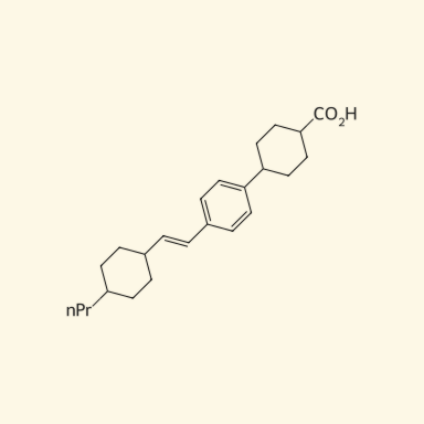 CCCC1CCC(C=Cc2ccc(C3CCC(C(=O)O)CC3)cc2)CC1